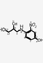 O=[N+]([O-])c1cc(O)ccc1NCC(O)CO